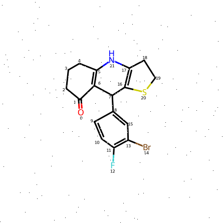 O=C1CCCC2=C1C(c1ccc(F)c(Br)c1)C1=C(CCS1)N2